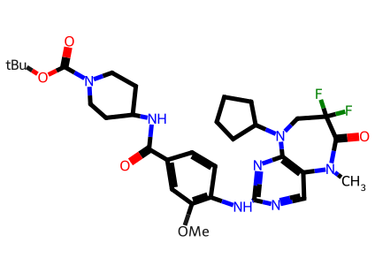 COc1cc(C(=O)NC2CCN(C(=O)OC(C)(C)C)CC2)ccc1Nc1ncc2c(n1)N(C1CCCC1)CC(F)(F)C(=O)N2C